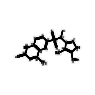 CSc1[nH]nc(N(C)S(=O)(=O)c2ccc3[nH]c(=O)cc(C(F)(F)F)c3c2)c1C#N